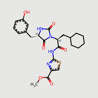 COC(=O)c1csc(NC(=O)[C@H](CC2CCCCC2)N2C(=O)N[C@@H](Cc3cccc(O)c3)C2=O)n1